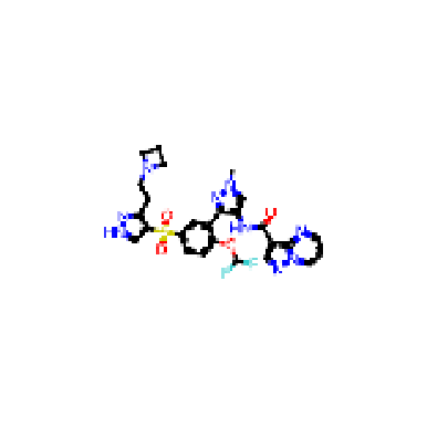 Cn1cc(NC(=O)c2cnn3cccnc23)c(-c2cc(S(=O)(=O)c3c[nH]nc3CCN3CCC3)ccc2OC(F)F)n1